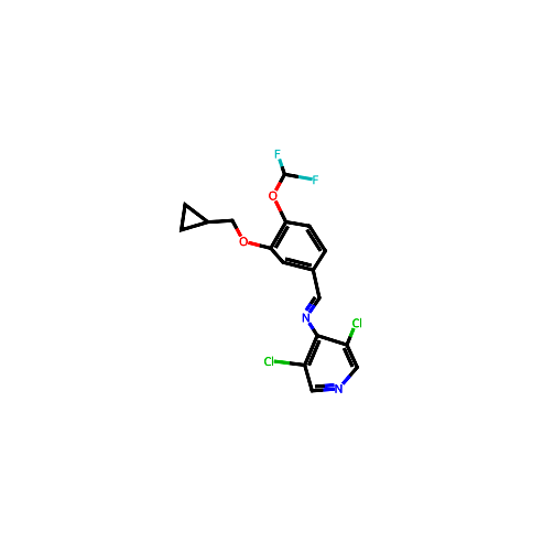 FC(F)Oc1ccc(C=Nc2c(Cl)cncc2Cl)cc1OCC1CC1